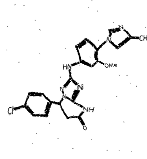 COc1cc(Nc2nc3n(n2)C(c2ccc(Cl)cc2)CC(=O)N3)ccc1-n1cnc(C)c1